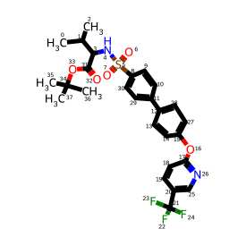 CC(C)C(NS(=O)(=O)c1ccc(-c2ccc(Oc3ccc(C(F)(F)F)cn3)cc2)cc1)C(=O)OC(C)(C)C